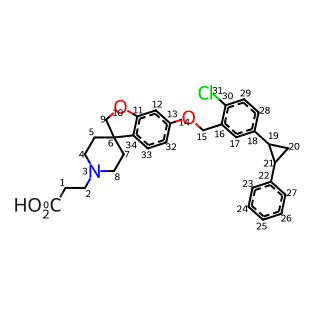 O=C(O)CCN1CCC2(CC1)COc1cc(OCc3cc(C4CC4c4ccccc4)ccc3Cl)ccc12